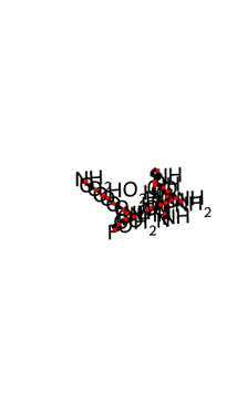 N=C(N)NCCC[C@H](NC(=O)CCOCCOCCNC(=O)[C@@H](CCC(=O)Oc1ccc(F)cc1)NC(=O)CCOCCOCCOCCOCCOCCOCCN)C(=O)N[C@@H](CCCNC(=N)N)C(=O)NCC(=O)N[C@@H](Cc1c[nH]c2ccccc12)C(=O)O